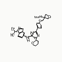 CCC(O)n1ncc2cc(Nc3nc(-c4ccc(OCC5(NC)COC5)cc4)nn3C3CCCCO3)ccc21